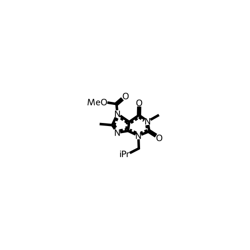 COC(=O)n1c(C)nc2c1c(=O)n(C)c(=O)n2CC(C)C